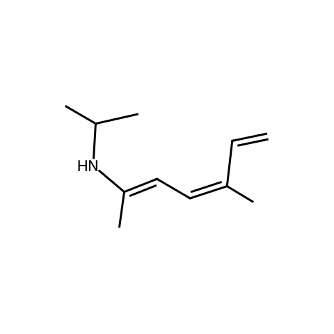 C=C/C(C)=C\C=C(/C)NC(C)C